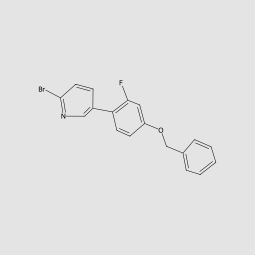 Fc1cc(OCc2ccccc2)ccc1-c1ccc(Br)nc1